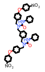 O=C(Nc1ccccc1)N(Cc1ccc(Oc2ccc([N+](=O)[O-])cc2)cc1)Cc1cccc(CN(Cc2ccc(Oc3ccc([N+](=O)[O-])cc3)cc2)C(=O)Nc2ccccc2)c1